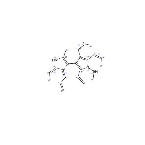 C=C/C=c1/c(-c2c(/C=C\C)c(/C=C\C)n(BC)c2C=C)c(C)[nH]/c1=C/C